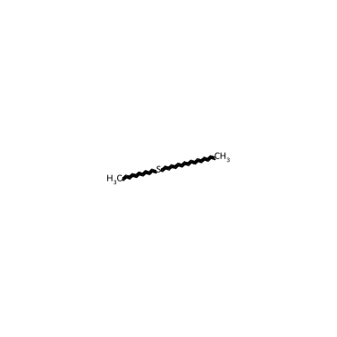 CCCCCCCCCCCCCCCCCCSCCCCCCCCCCCC